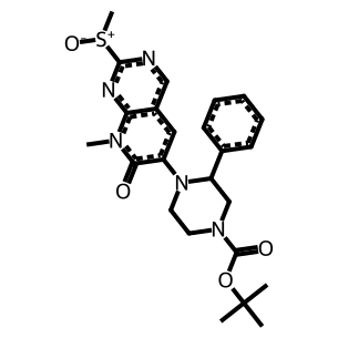 Cn1c(=O)c(N2CCN(C(=O)OC(C)(C)C)CC2c2ccccc2)cc2cnc([S+](C)[O-])nc21